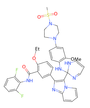 CCOc1ccc(-c2nc3ccccn3c2C2(Nc3ccc(N4CCN(S(C)(=O)=O)CC4)cc3OC)N=CC=CN2)cc1C(=O)Nc1c(F)cccc1F